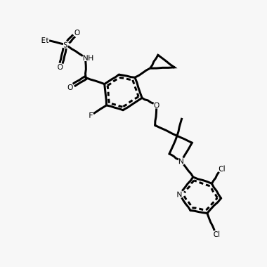 CCS(=O)(=O)NC(=O)c1cc(C2CC2)c(OCC2(C)CN(c3ncc(Cl)cc3Cl)C2)cc1F